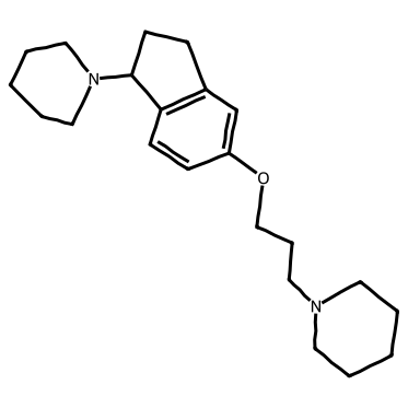 c1cc2c(cc1OCCCN1CCCCC1)CCC2N1CCCCC1